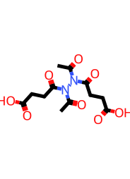 CC(=O)N(C(=O)CCC(=O)O)N(C(C)=O)C(=O)CCC(=O)O